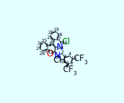 CN(Cc1cc(C(F)(F)F)cc(C(F)(F)F)c1)C(=O)c1nc(Cl)c2ccccc2c1-c1ccccc1